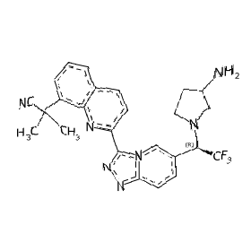 CC(C)(C#N)c1cccc2ccc(-c3nnc4ccc([C@@H](N5CCC(N)C5)C(F)(F)F)cn34)nc12